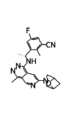 Cc1c(C#N)cc(F)cc1[C@@H](C)Nc1nnc(C)c2cnc(N3CC4CC(C3)O4)cc12